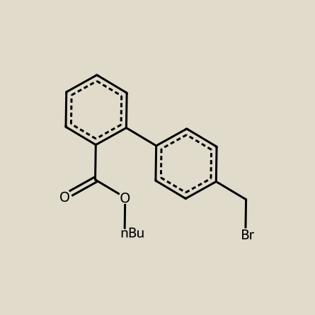 CCCCOC(=O)c1ccccc1-c1ccc(CBr)cc1